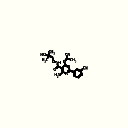 CC(C#N)Oc1nc(-c2cccc(C#N)c2)nc(N)c1C(=O)NOCC(C)(C)O